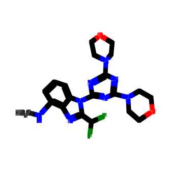 O=C(O)Nc1cccc2c1nc(C(F)F)n2-c1nc(N2CCOCC2)nc(N2CCOCC2)n1